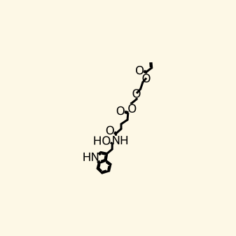 C=CC(=O)OCCOCCOC(=O)CCCC(=O)NC(O)Cc1c[nH]c2ccccc12